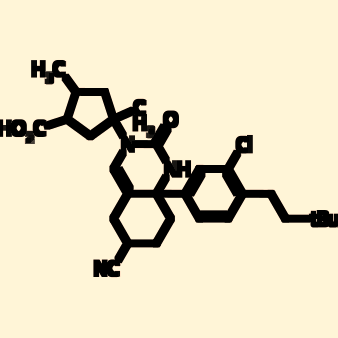 CC1CC(C)(N2C=C3CC(C#N)CCC3(c3ccc(CCC(C)(C)C)c(Cl)c3)NC2=O)CC1C(=O)O